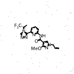 C=CCn1cc(C(=O)Nc2cccc(-c3nncn3[C@@H](C)C(F)(F)F)n2)c(OC)n1